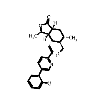 CC[C@H]1[C@H](/C=C/c2ccc(-c3ccccc3Cl)cn2)[C@@H]2[C@@H](C)OC(=O)[C@@H]2C[C@@H]1C